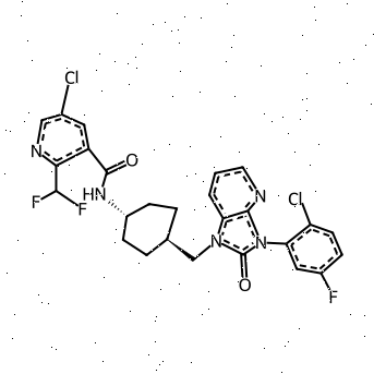 O=C(N[C@H]1CC[C@H](Cn2c(=O)n(-c3cc(F)ccc3Cl)c3ncccc32)CC1)c1cc(Cl)cnc1C(F)F